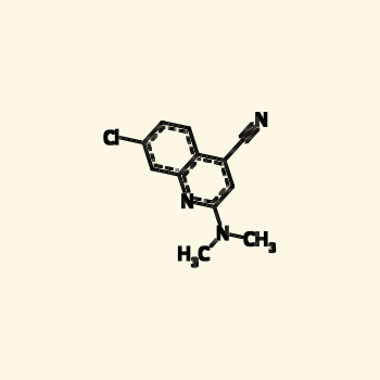 CN(C)c1cc(C#N)c2ccc(Cl)cc2n1